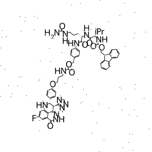 CC(C)[C@H](NC(=O)OCC1c2ccccc2-c2ccccc21)C(=O)N[C@@H](CCCNC(N)=O)C(=O)Nc1ccc(COC(=O)NCCCOc2ccc([C@H]3Nc4cc(F)cc5c(=O)[nH]nc(c45)[C@@H]3c3ncnn3C)cc2)cc1